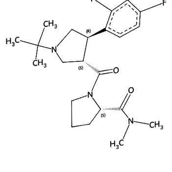 CN(C)C(=O)[C@@H]1CCCN1C(=O)[C@@H]1CN(C(C)(C)C)C[C@H]1c1ccc(F)cc1F